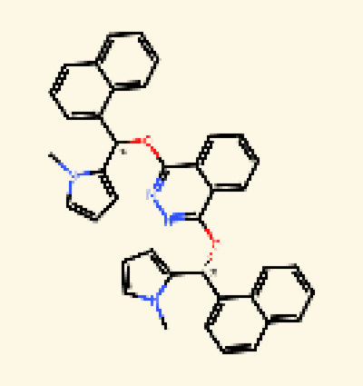 Cn1cccc1[C@H](Oc1nnc(O[C@H](c2cccc3ccccc23)c2cccn2C)c2ccccc12)c1cccc2ccccc12